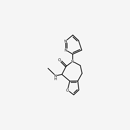 CNC1C(=O)N(c2cccnn2)CCc2ccoc21